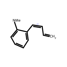 C=C/C=C\c1ccccc1NC